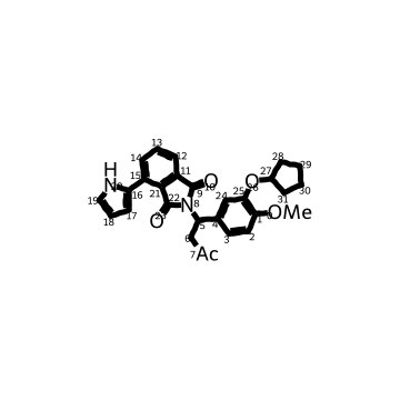 COc1ccc(C(CC(C)=O)N2C(=O)c3cccc(-c4ccc[nH]4)c3C2=O)cc1OC1CCCC1